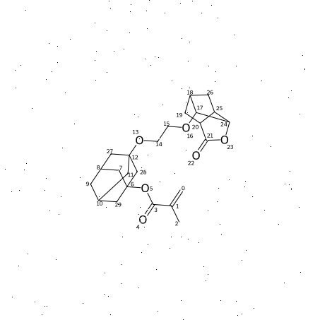 C=C(C)C(=O)OC12CC3CC(CC(OCCOC4C5CC6C(=O)OC4C6C5)(C3)C1)C2